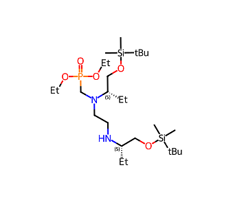 CCOP(=O)(CN(CCN[C@@H](CC)CO[Si](C)(C)C(C)(C)C)[C@@H](CC)CO[Si](C)(C)C(C)(C)C)OCC